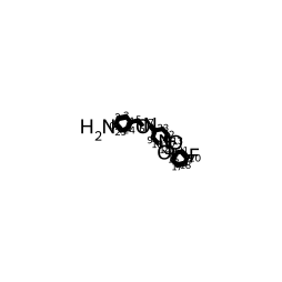 Nc1ccc(CON=C2CCN(S(=O)(=O)c3cccc(F)c3)CC2)cc1